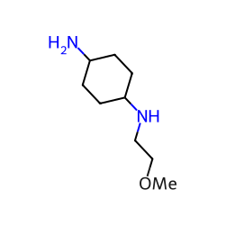 COCCNC1CCC(N)CC1